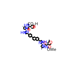 COC(=O)N[C@H](C(=O)N1C[C@@H](C)C[C@H]1c1nc(-c2ccc3cc(-c4ccc(-c5c[nH]c([C@@H]6C[C@H](C)CN6C(=O)[C@@H](NC(=O)O)[C@@H]6CCO[C@@H](C)C6)n5)cc4)ccc3c2)c[nH]1)C1CCOC(C)C1